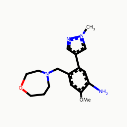 COc1cc(CN2CCCOCC2)c(-c2cnn(C)c2)cc1N